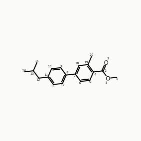 COC(=O)c1ccc(-c2ccc(CC(C)C)cc2)cc1C